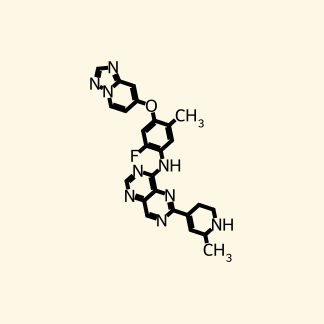 Cc1cc(Nc2ncnc3cnc(C4=CC(C)NCC4)nc23)c(F)cc1Oc1ccn2ncnc2c1